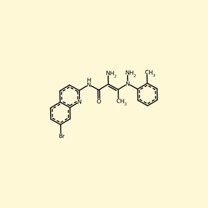 C/C(=C(/N)C(=O)Nc1ccc2ccc(Br)cc2n1)N(N)c1ccccc1C